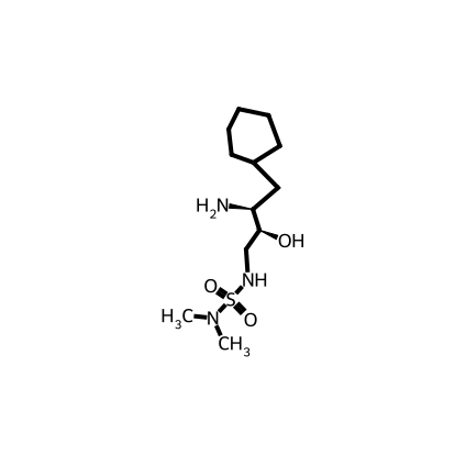 CN(C)S(=O)(=O)NC[C@H](O)[C@@H](N)CC1CCCCC1